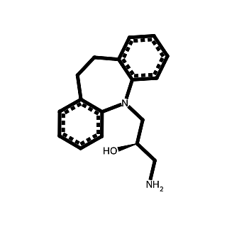 NC[C@@H](O)CN1c2ccccc2CCc2ccccc21